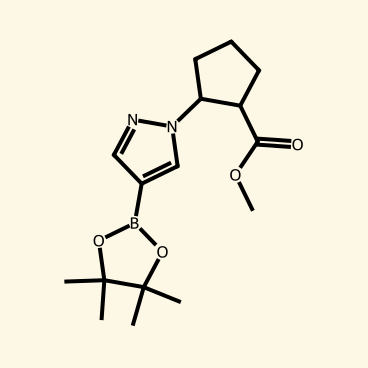 COC(=O)C1CCCC1n1cc(B2OC(C)(C)C(C)(C)O2)cn1